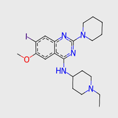 CCN1CCC(Nc2nc(N3CCCCC3)nc3cc(I)c(OC)cc23)CC1